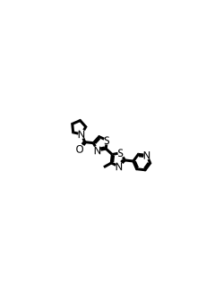 Cc1nc(-c2cccnc2)sc1-c1nc(C(=O)N2CCCC2)cs1